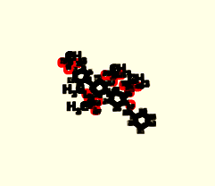 COc1c(-c2ccc(OS(C)(=O)=O)cc2)cc(OS(C)(=O)=O)c(-c2ccc(OCc3ccccc3)c(OS(C)(=O)=O)c2)c1OS(C)(=O)=O